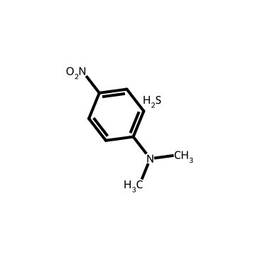 CN(C)c1ccc([N+](=O)[O-])cc1.S